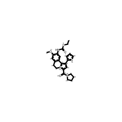 CCOC(=O)Nc1cc2c(cc1OC)CCn1c(C(=O)N3CCCC3)cc(-c3cccs3)c1-2